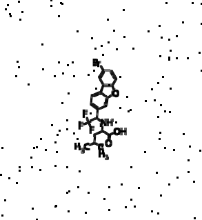 CC(C)CC(NC(c1ccc2c(c1)oc1ccc(Br)cc12)C(F)(F)F)C(=O)O